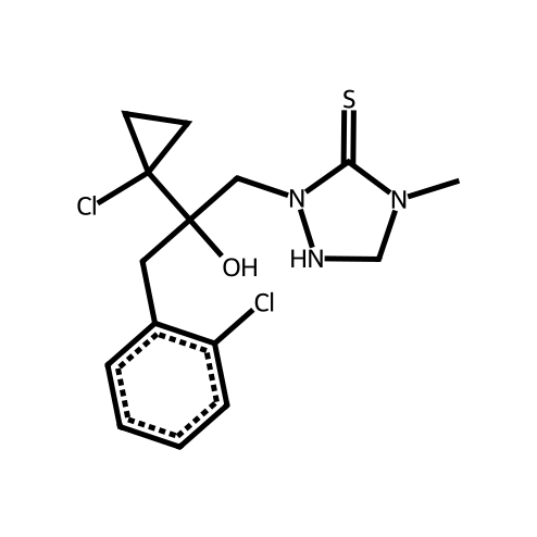 CN1CNN(CC(O)(Cc2ccccc2Cl)C2(Cl)CC2)C1=S